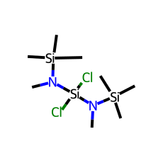 CN([Si](C)(C)C)[Si](Cl)(Cl)N(C)[Si](C)(C)C